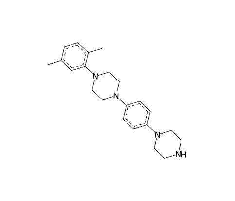 Cc1ccc(C)c(N2CCN(c3ccc(N4CCNCC4)cc3)CC2)c1